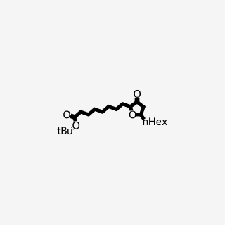 CCCCCCC1CC(=O)C(CCCCCCCC(=O)OC(C)(C)C)O1